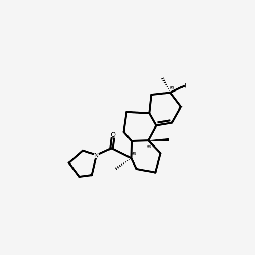 C[C@]1(I)CC=C2C(CCC3[C@](C)(C(=O)N4CCCC4)CCC[C@@]23C)C1